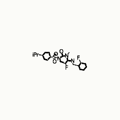 CC(C)c1ccc(S(=O)(=O)n2cc(F)/c(=N\Cc3ccccc3F)n(C)c2=O)cc1